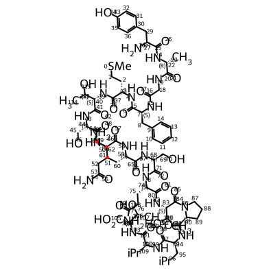 CSCC[C@H](NC(=O)[C@H](Cc1ccccc1)NC(=O)CNC(=O)[C@@H](C)NC(=O)[C@@H](N)Cc1ccc(O)cc1)C(=O)N[C@H](C(=O)N[C@@H](CO)C(=O)N[C@@H](CCC(N)=O)C(=O)N[C@@H](CCCCN)C(=O)N[C@@H](CO)C(=O)N[C@@H](CCC(N)=O)C(=O)N[C@H](C(=O)N1CCC[C@H]1C(=O)N[C@@H](CC(C)C)C(=O)N[C@H](C(=O)N[C@H](C(=O)O)[C@@H](C)O)C(C)C)[C@@H](C)O)[C@@H](C)O